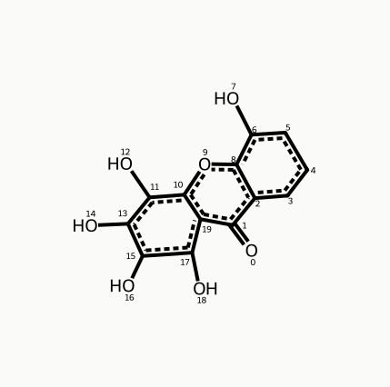 O=c1c2cccc(O)c2oc2c(O)c(O)c(O)c(O)c12